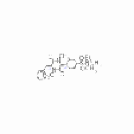 CC[N+](C)(C)S(=O)(=O)C1=CC/C(=c2\c(=O)n(C)/c(=C\c3ccccc3)c(=O)n2C)C=C1